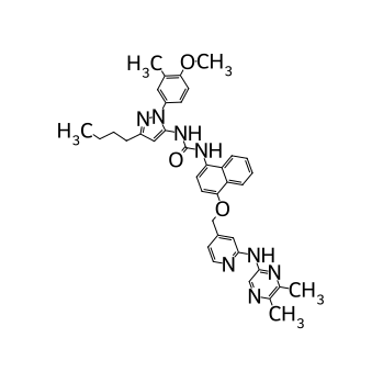 CCCCc1cc(NC(=O)Nc2ccc(OCc3ccnc(Nc4cnc(C)c(C)n4)c3)c3ccccc23)n(-c2ccc(OC)c(C)c2)n1